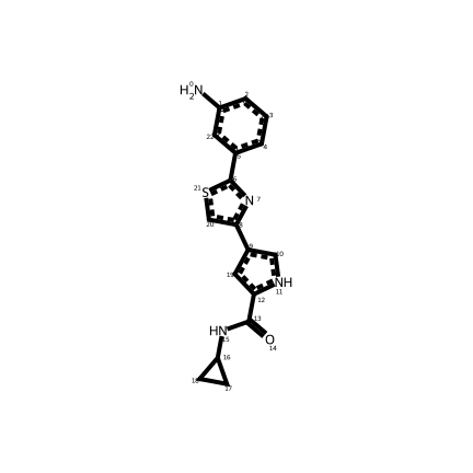 Nc1cccc(-c2nc(-c3c[nH]c(C(=O)NC4CC4)c3)cs2)c1